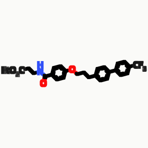 CCOC(=O)CCNC(=O)c1ccc(OCCCc2ccc(-c3ccc(C(F)(F)F)cc3)cc2)cc1